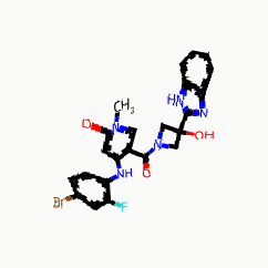 Cn1cc(C(=O)N2CC(O)(c3nc4ccccc4[nH]3)C2)c(Nc2ccc(Br)cc2F)cc1=O